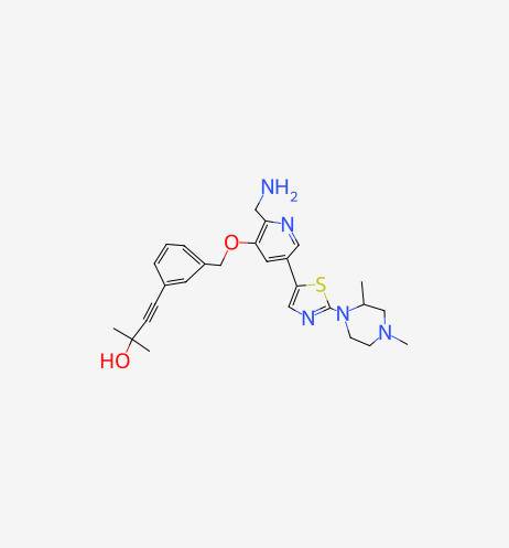 CC1CN(C)CCN1c1ncc(-c2cnc(CN)c(OCc3cccc(C#CC(C)(C)O)c3)c2)s1